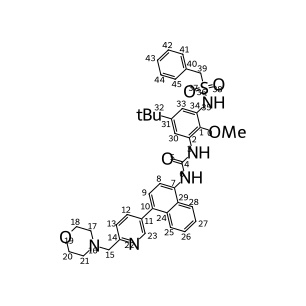 COc1c(NC(=O)Nc2ccc(-c3ccc(CN4CCOCC4)nc3)c3ccccc23)cc(C(C)(C)C)cc1NS(=O)(=O)Cc1ccccc1